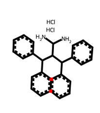 Cl.Cl.NC(N)C(C(c1ccccc1)c1ccccc1)C(c1ccccc1)c1ccccc1